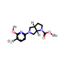 CC(C)Oc1nc(N2C[C@@H]3CCN(C(=O)OC(C)(C)C)[C@@H]3C2)ccc1[N+](=O)[O-]